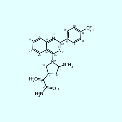 C=C(C(N)=O)C1CC(C)N(c2nc(-c3ccc(C(F)(F)F)cc3)nc3cnccc23)C1